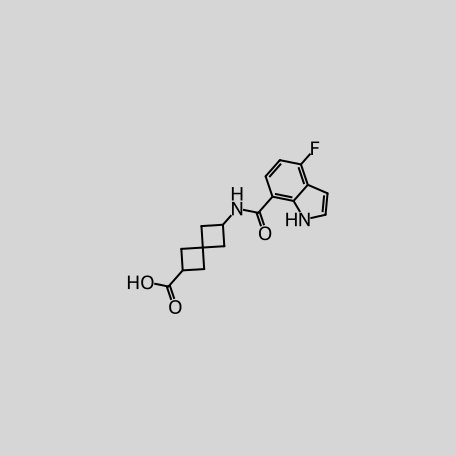 O=C(NC1CC2(C1)CC(C(=O)O)C2)c1ccc(F)c2cc[nH]c12